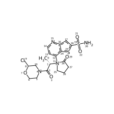 C[C@@H](C(=O)N1CCOC(Cl)C1)[N+]1(c2ccnc3cc(S(N)(=O)=O)sc23)CCCC1=O